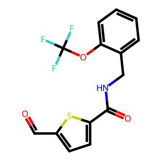 O=Cc1ccc(C(=O)NCc2ccccc2OC(F)(F)F)s1